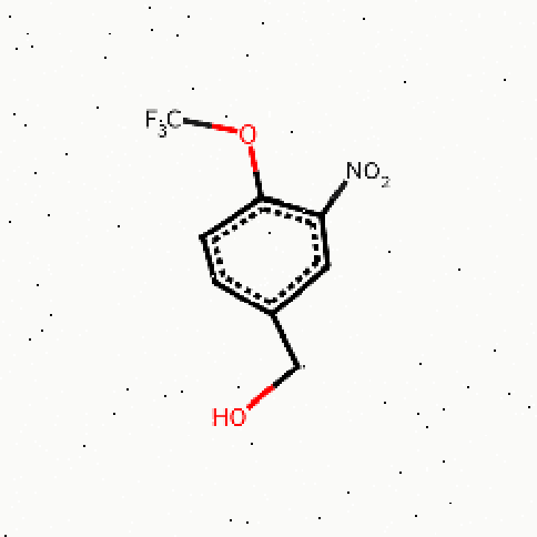 O=[N+]([O-])c1cc([CH]O)ccc1OC(F)(F)F